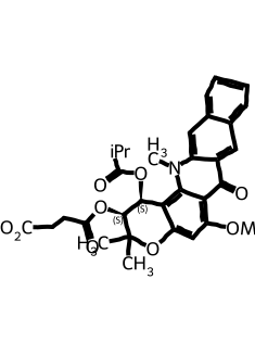 COc1cc2c(c3c1c(=O)c1cc4ccccc4cc1n3C)[C@H](OC(=O)C(C)C)[C@H](OC(=O)CCC(=O)O)C(C)(C)O2